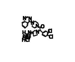 Cl.Cl.Cl.N[C@@H]1CCN(C(C(=O)N2CCN(c3ncnc4ccccc34)CC2)c2ccc(Cl)c(Cl)c2)C1